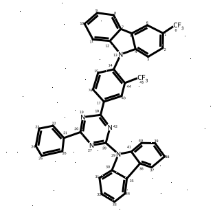 FC(F)(F)c1ccc2c(c1)c1ccccc1n2-c1ccc(-c2nc(-c3ccccc3)nc(-n3c4ccccc4c4ccccc43)n2)cc1C(F)(F)F